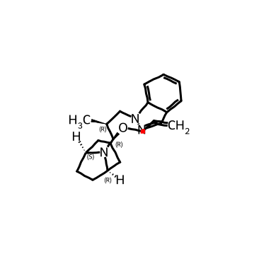 C=CCO[C@H]1C[C@H]2CC[C@@H](C1)N2C[C@@H](C)Cn1ncc2ccccc21